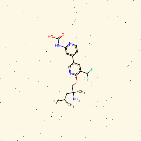 CC(C)CC(C)(N)COc1ncc(-c2ccnc(NC(=O)O)c2)cc1C(F)F